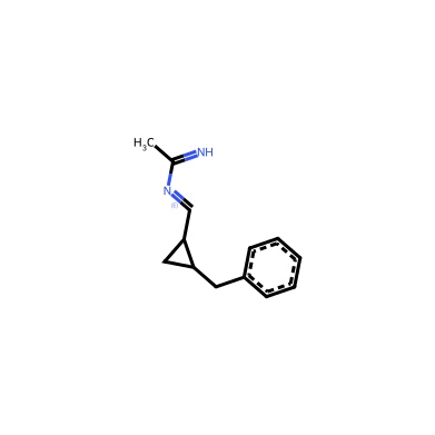 CC(=N)/N=C/C1CC1Cc1ccccc1